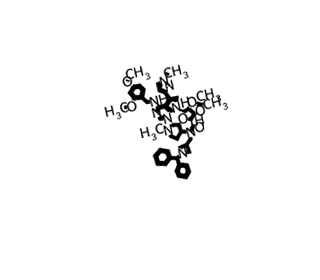 COc1ccc(CNc2ncnc3c2c(-c2ccn(C)n2)cn3[C@@H]2O[C@H](C(=O)N(CC3CN(C(c4ccccc4)c4ccccc4)C3)C3CCN(C)CC3)[C@H]3OC(C)(C)O[C@H]32)c(OC)c1